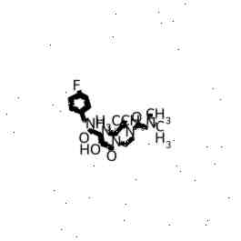 CN(C)CC(=O)N1CCn2c(nc(C(=O)NCc3ccc(F)cc3)c(O)c2=O)C1(C)C